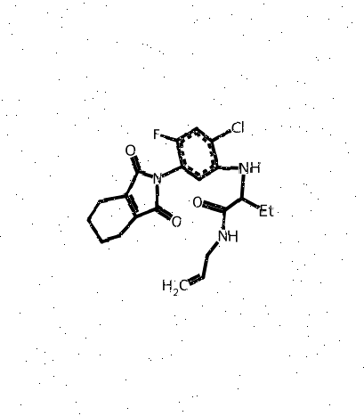 C=CCNC(=O)C(CC)Nc1cc(N2C(=O)C3=C(CCCC3)C2=O)c(F)cc1Cl